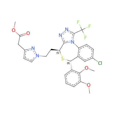 COC(=O)Cc1ccn(CC[C@@H]2S[C@@H](c3cccc(OC)c3OC)c3cc(Cl)ccc3-n3c2nnc3C(F)(F)F)n1